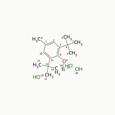 Cc1cc(C(C)(C)C)c([O][Ti])c(C(C)(C)C)c1.Cl.Cl.Cl